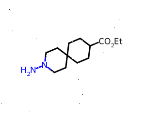 CCOC(=O)C1CCC2(CC1)CCN(N)CC2